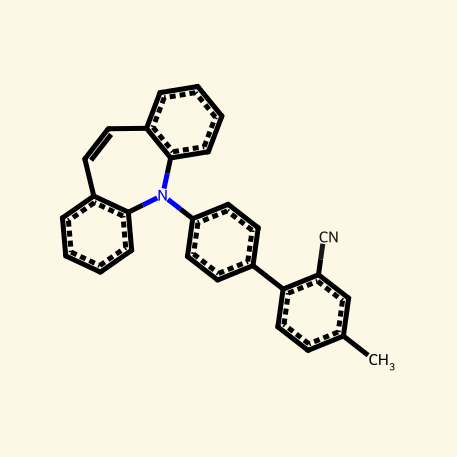 Cc1ccc(-c2ccc(N3c4ccccc4C=Cc4ccccc43)cc2)c(C#N)c1